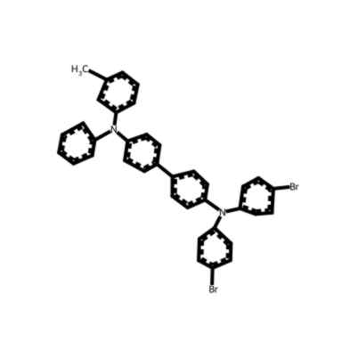 Cc1cccc(N(c2ccccc2)c2ccc(-c3ccc(N(c4ccc(Br)cc4)c4ccc(Br)cc4)cc3)cc2)c1